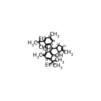 CCC(C)(C)c1cc(C)cc(C(c2cc(C)cc(C(C)(C)CC)c2O)C2CC=C(C)C2)c1O